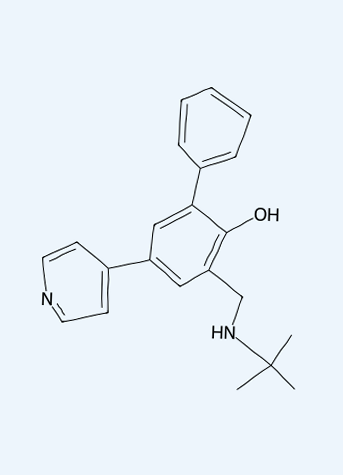 CC(C)(C)NCc1cc(-c2ccncc2)cc(-c2ccccc2)c1O